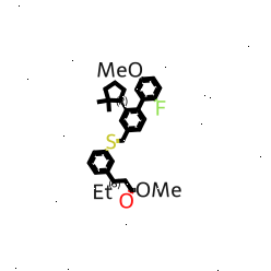 CC[C@@H](CC(=O)OC)c1cccc(SCc2ccc(-c3cc(OC)ccc3F)c([C@@H]3CCCC3(C)C)c2)c1